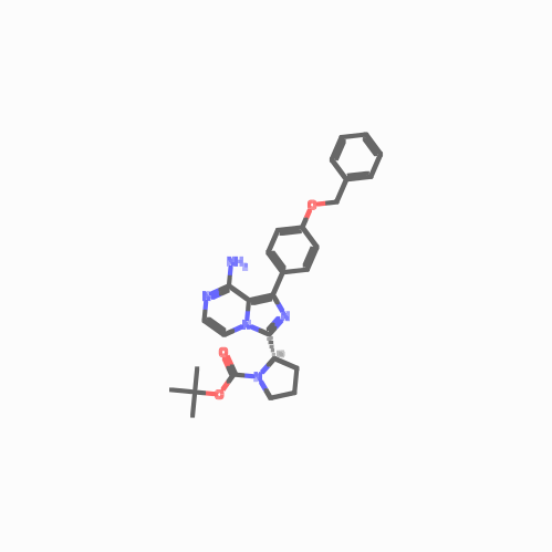 CC(C)(C)OC(=O)N1CCC[C@H]1c1nc(-c2ccc(OCc3ccccc3)cc2)c2c(N)nccn12